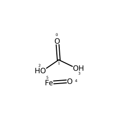 O=C(O)O.[O]=[Fe]